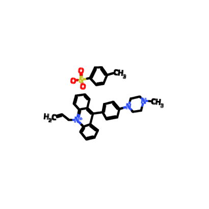 C=CC[n+]1c2ccccc2c(-c2ccc(N3CCN(C)CC3)cc2)c2ccccc21.Cc1ccc(S(=O)(=O)[O-])cc1